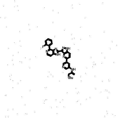 C=C(CC(C)(C)C)Nc1cncc(-c2ccc3[nH]nc(-c4nc5c(-c6ccccc6F)nccc5[nH]4)c3n2)c1